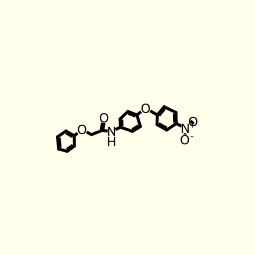 O=C(COc1ccccc1)Nc1ccc(Oc2ccc([N+](=O)[O-])cc2)cc1